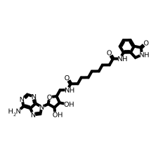 Nc1ncnc2c1ncn2C1OC(CNC(=O)CCCCCCCC(=O)Nc2cccc3c2CNC3=O)C(O)C1O